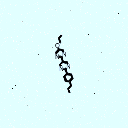 CCCOc1cnc(-c2cnc(-c3ccc(CCC)cc3)nc2)nc1